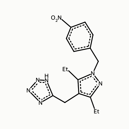 CCc1nn(Cc2ccc([N+](=O)[O-])cc2)c(CC)c1Cc1nnn[nH]1